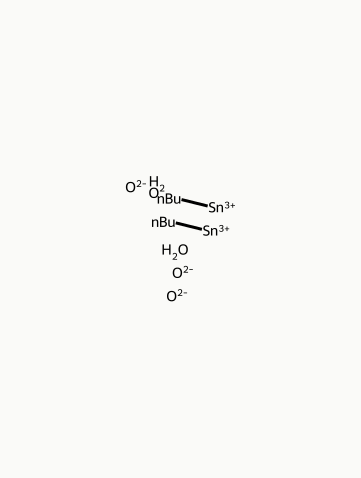 CCC[CH2][Sn+3].CCC[CH2][Sn+3].O.O.[O-2].[O-2].[O-2]